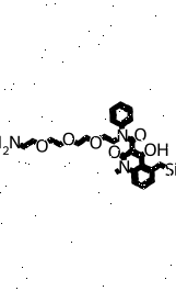 Cn1c(=O)c(C(=O)N(CCOCCOCCOCCN)c2ccccc2)c(O)c2c(CS)cccc21